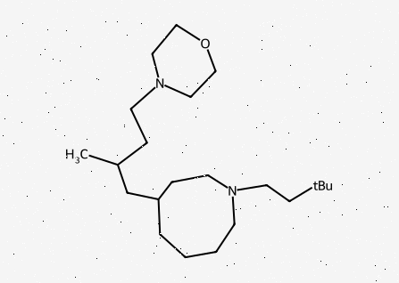 CC(CCN1CCOCC1)CC1CCCCN(CCC(C)(C)C)CC1